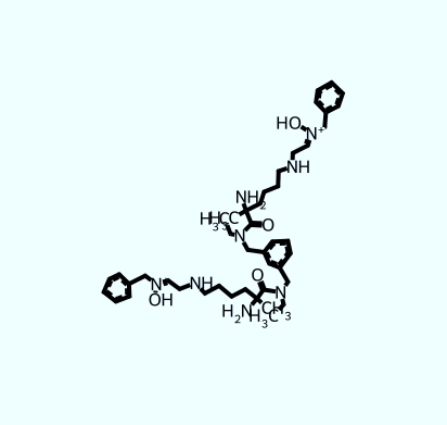 CCN(Cc1cccc(CN(CC)C(=O)C(C)(N)CCCCNCC=[N+](O)Cc2ccccc2)c1)C(=O)C(C)(N)CCCCNCC=[N+](O)Cc1ccccc1